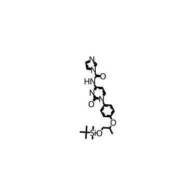 CC(CO[Si](C)(C)C(C)(C)C)Oc1ccc(-n2ccc(NC(=O)n3ccnc3)nc2=O)cc1